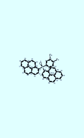 O=P(c1ccc(F)c(F)c1)(c1ccc2ccc3cccc4ccc1c2c34)c1ccc2ccc3cccc4ccc1c2c34